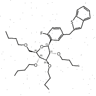 CCCCOC[C@H]1O[C@@H](c2cc(Cc3cc4ccccc4s3)ccc2F)[C@H](OCCCC)[C@@H](OCCCC)[C@@H]1OCCCC